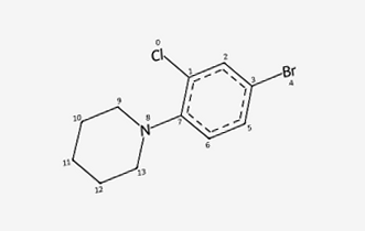 Clc1cc(Br)ccc1N1CCCCC1